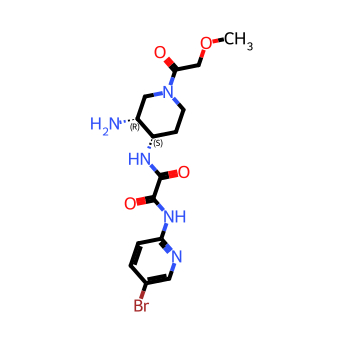 COCC(=O)N1CC[C@H](NC(=O)C(=O)Nc2ccc(Br)cn2)[C@H](N)C1